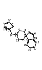 C1=CC2(CCN(Cc3nccs3)CC2)c2ccccc21